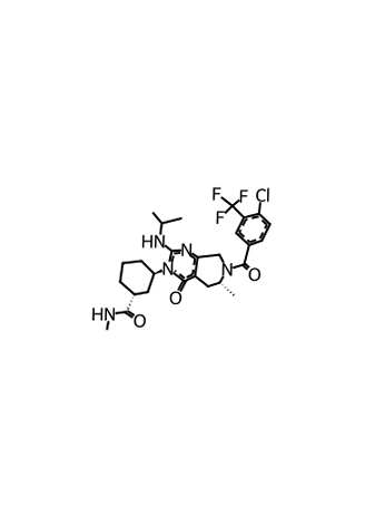 CNC(=O)[C@@H]1CCC[C@@H](n2c(NC(C)C)nc3c(c2=O)C[C@@H](C)N(C(=O)c2ccc(Cl)c(C(F)(F)F)c2)C3)C1